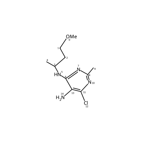 COCCC(C)Nc1nc(C)nc(Cl)c1N